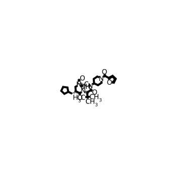 CN(C(=O)[C@@H](NC(=O)[C@H](CC1CCCC1)CN(O)C=O)C(C)(C)C)C1CCN(C(=O)c2ccco2)CC1